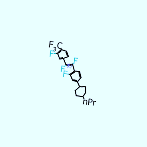 CCCC1CCC(c2ccc(/C(F)=C(\F)c3ccc(C(F)(F)F)c(F)c3)c(F)c2)CC1